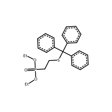 CCOP(=O)(CCSC(c1ccccc1)(c1ccccc1)c1ccccc1)OCC